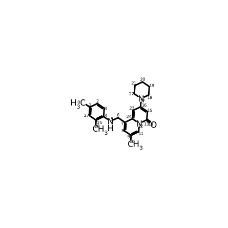 Cc1ccc(NCc2cc(C)cn3c(=O)cc(N4CCCCC4)cc23)c(C)c1